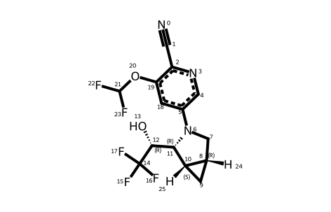 N#Cc1ncc(N2C[C@@H]3C[C@@H]3[C@@H]2[C@@H](O)C(F)(F)F)cc1OC(F)F